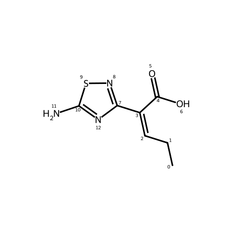 CC/C=C(\C(=O)O)c1nsc(N)n1